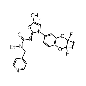 CCN(Cc1ccncc1)C(=O)N=c1sc(C)cn1-c1ccc2c(c1)OC(F)(F)C(F)(F)O2